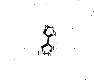 c1[nH]nnc1-c1cnsn1